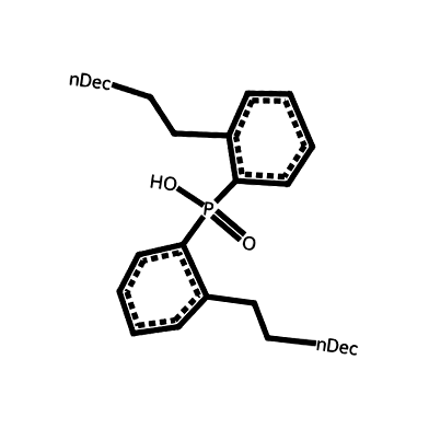 CCCCCCCCCCCCc1ccccc1P(=O)(O)c1ccccc1CCCCCCCCCCCC